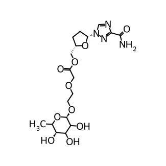 CC1O[C@@H](OCCOCC(=O)OC[C@@H]2CC[C@H](n3cnc(C(N)=O)n3)O2)C(O)C(O)[C@H]1O